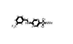 CNS(=O)(=O)c1cnc(NCc2cccc(C(F)(F)F)c2)cn1